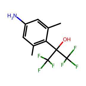 Cc1cc(N)cc(C)c1C(O)(C(F)(F)F)C(F)(F)F